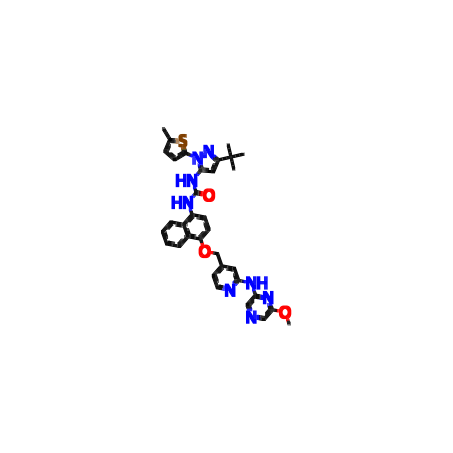 COc1cncc(Nc2cc(COc3ccc(NC(=O)Nc4cc(C(C)(C)C)nn4-c4ccc(C)s4)c4ccccc34)ccn2)n1